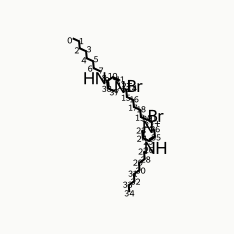 CCCCCCCCNc1cc[n+](C(Br)CCCCCC(Br)[n+]2ccc(NCCCCCCCC)cc2)cc1